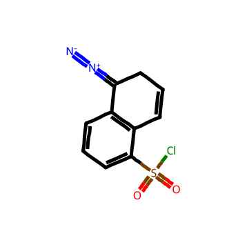 [N-]=[N+]=C1CC=Cc2c1cccc2S(=O)(=O)Cl